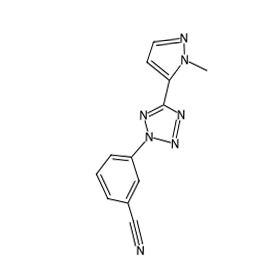 Cn1nccc1-c1nnn(-c2cccc(C#N)c2)n1